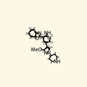 COc1nn(C2CCNCC2)cc1-c1cnc(N)c(-c2nc3ccccc3o2)c1